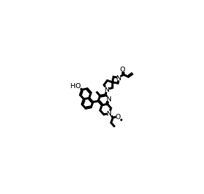 C=CC(=O)N1CC2(CCN(c3nc4c(c(-c5cccc6cc(O)ccc56)c3C)CCN(C(CC)OC)C4)C2)C1